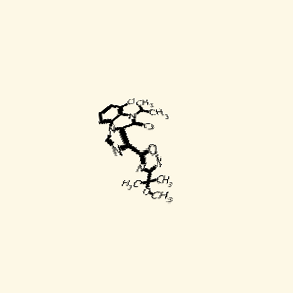 COC(C)(C)c1noc(-c2ncn3c2c(=O)n(C(C)C)c2c(Cl)cccc23)n1